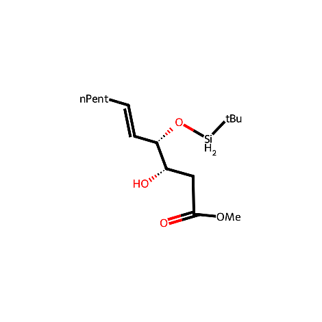 CCCCCC=C[C@H](O[SiH2]C(C)(C)C)[C@@H](O)CC(=O)OC